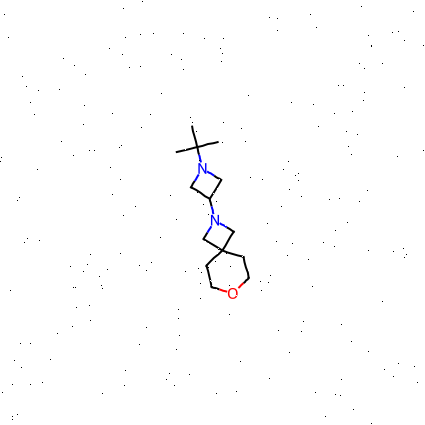 CC(C)(C)N1CC(N2CC3(CCOCC3)C2)C1